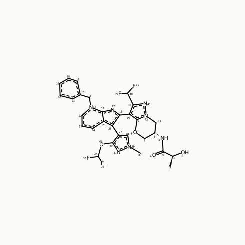 C[C@H](O)C(=O)N[C@@H]1COc2c(-c3nc4n(Cc5ccccc5)cccc-4c3-c3cn(C)nc3OC(F)F)c(C(F)F)nn2C1